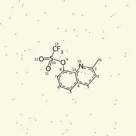 Cc1ccc2cccc(OS(=O)(=O)C(F)(F)F)c2n1